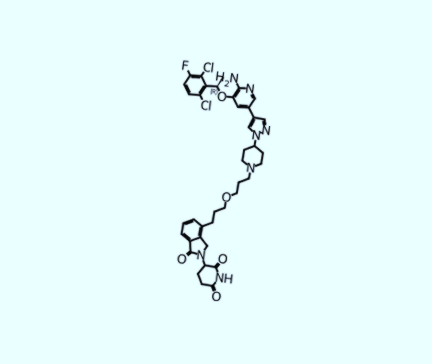 C[C@@H](Oc1cc(-c2cnn(C3CCN(CCCOCCCc4cccc5c4CN(C4CCC(=O)NC4=O)C5=O)CC3)c2)cnc1N)c1c(Cl)ccc(F)c1Cl